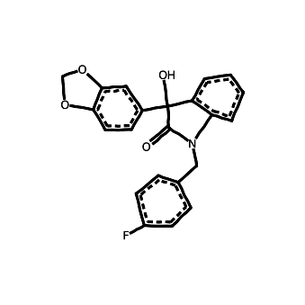 O=C1N(Cc2ccc(F)cc2)c2ccccc2C1(O)c1ccc2c(c1)OCO2